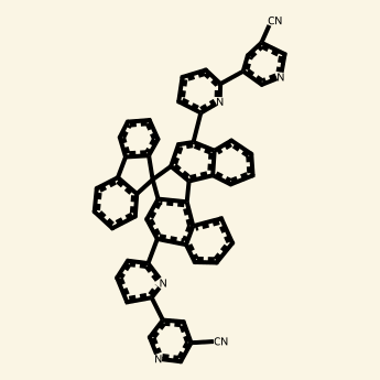 N#Cc1cncc(-c2cccc(-c3cc4c(c5ccccc35)-c3c(cc(-c5cccc(-c6cncc(C#N)c6)n5)c5ccccc35)C43c4ccccc4-c4ccccc43)n2)c1